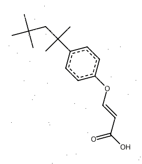 CC(C)(C)CC(C)(C)c1ccc(OC=CC(=O)O)cc1